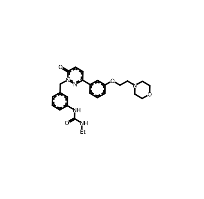 CCNC(=O)Nc1cccc(Cn2nc(-c3cccc(OCCN4CCOCC4)c3)ccc2=O)c1